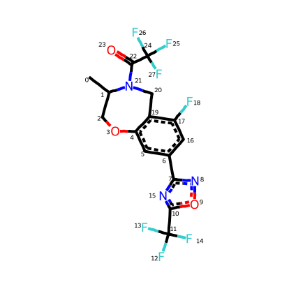 CC1COc2cc(-c3noc(C(F)(F)F)n3)cc(F)c2CN1C(=O)C(F)(F)F